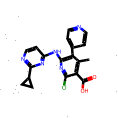 Cc1c(C(=O)O)c(Cl)nc(Nc2ccnc(C3CC3)n2)c1-c1ccncc1